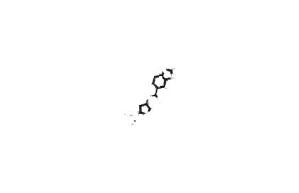 O=C(Oc1csc([N+](=O)[O-])c1)c1ccc2[nH]cnc2c1